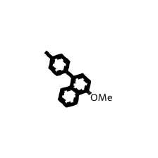 COc1ccc(-c2ccc(C)cc2)c2ccccc12